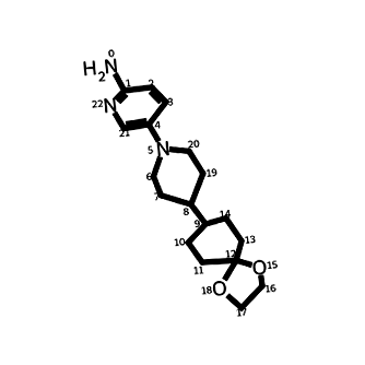 Nc1ccc(N2CCC(C3CCC4(CC3)OCCO4)CC2)cn1